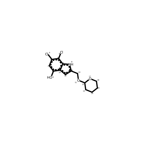 Oc1cc(Cl)c(Cl)c2[nH]c(COC3CCCCO3)cc12